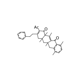 CC(=O)C1=C(CCc2ccccc2)CC2(C)CC3(C)Cc4c(C)ccc(C)c4C(=O)C3=C(C)C2(C)C1=O